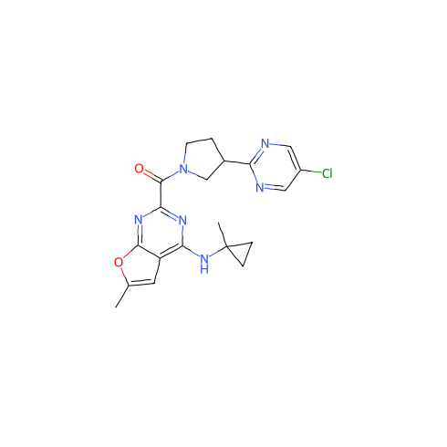 Cc1cc2c(NC3(C)CC3)nc(C(=O)N3CCC(c4ncc(Cl)cn4)C3)nc2o1